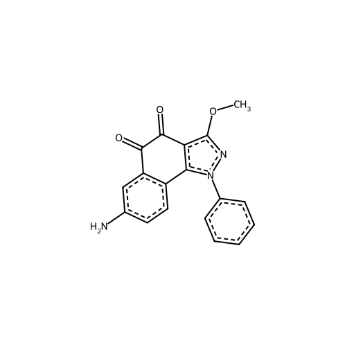 COc1nn(-c2ccccc2)c2c1C(=O)C(=O)c1cc(N)ccc1-2